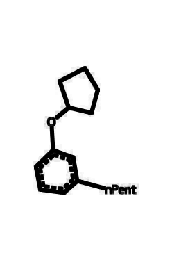 [CH2]CCCCc1cccc(OC2CCCC2)c1